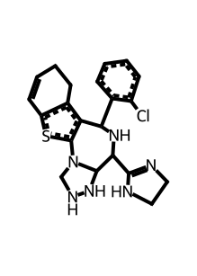 Clc1ccccc1C1NC(C2=NCCN2)C2NNCN2c2sc3c(c21)CCC=C3